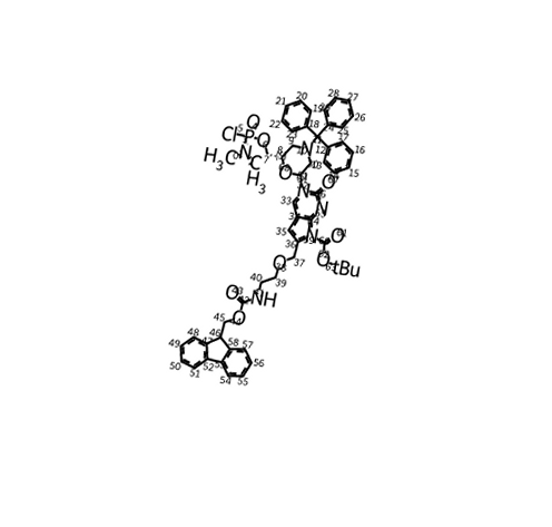 CN(C)P(=O)(Cl)OC[C@@H]1CN(C(c2ccccc2)(c2ccccc2)c2ccccc2)C[C@@H](n2cc3cc(COCCNC(=O)OCC4c5ccccc5-c5ccccc54)n(C(=O)OC(C)(C)C)c3nc2=O)O1